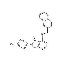 CCC(C)c1ccc(N2Cc3cccc(NCc4ccc5ncccc5c4)c3C2=O)cc1